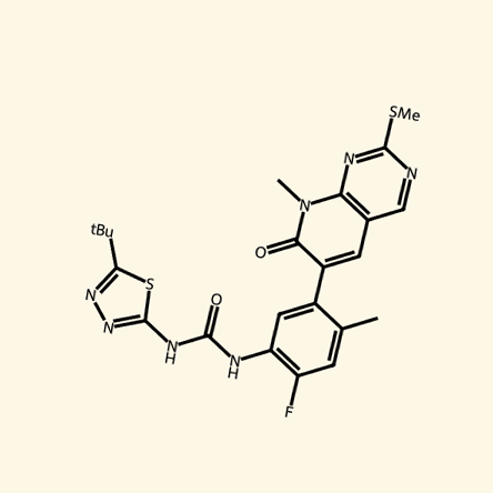 CSc1ncc2cc(-c3cc(NC(=O)Nc4nnc(C(C)(C)C)s4)c(F)cc3C)c(=O)n(C)c2n1